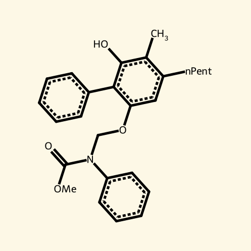 CCCCCc1cc(OCN(C(=O)OC)c2ccccc2)c(-c2ccccc2)c(O)c1C